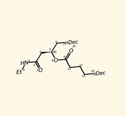 C[CH]NC(=O)C[C@@H](CCCCCCCCCCC)OC(=O)CCCCCCCCCCCCC